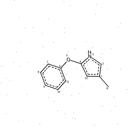 Cc1c[nH]c(Oc2ccccc2)c1